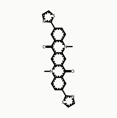 Cn1c2ccc(-c3nccs3)cc2c(=O)c2cc3c(cc21)c(=O)c1cc(-c2nccs2)ccc1n3C